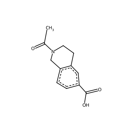 CC(=O)N1CCc2cc(C(=O)O)ccc2C1